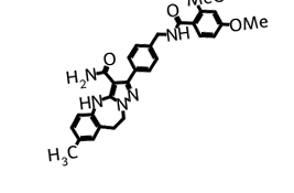 COc1ccc(C(=O)NCc2ccc(-c3nn4c(c3C(N)=O)Nc3ccc(C)cc3CC4)cc2)c(OC)c1